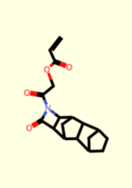 C=CC(=O)OCC(=O)N1C(=O)C2C3CC(C4C5CCC(C5)C34)C21